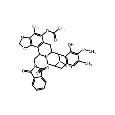 COc1c(C)cc2c(c1O)C1C3Cc4c(OC(C)=O)c(C)c5c(c4C(CN4C(=O)c6ccccc6C4=O)N3[C@@H](C#N)C(C2)N1C)OCO5